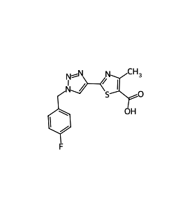 Cc1nc(-c2cn(Cc3ccc(F)cc3)nn2)sc1C(=O)O